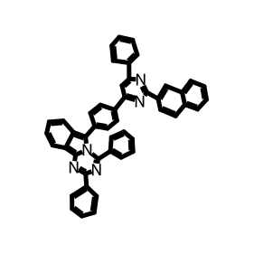 c1ccc(-c2cc(-c3ccc(-c4c5ccccc5c5nc(-c6ccccc6)nc(-c6ccccc6)n45)cc3)nc(-c3ccc4ccccc4c3)n2)cc1